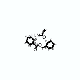 CC(C)C(N)=O.O=C(OCc1ccccc1)c1ccccc1